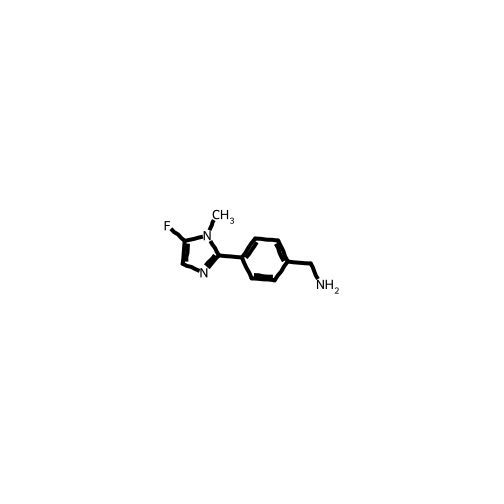 Cn1c(F)cnc1-c1ccc(CN)cc1